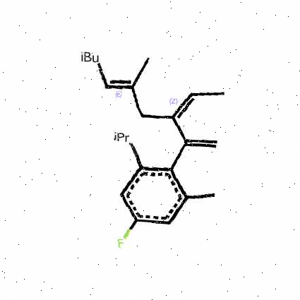 C=C(/C(=C\C)C/C(C)=C/C(C)CC)c1c(C)cc(F)cc1C(C)C